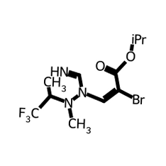 CC(C)OC(=O)/C(Br)=C\N(C=N)N(C)C(C)C(F)(F)F